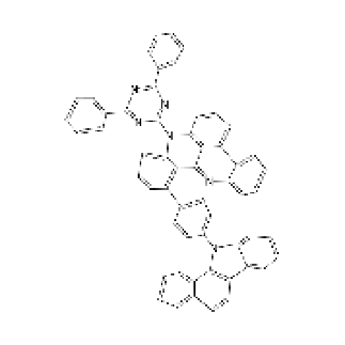 c1ccc(-c2nc(-c3ccccc3)nc(N3c4cccc(-c5ccc(-n6c7ccccc7c7ccc8ccccc8c76)cc5)c4-c4nc5ccccc5c5cccc3c45)n2)cc1